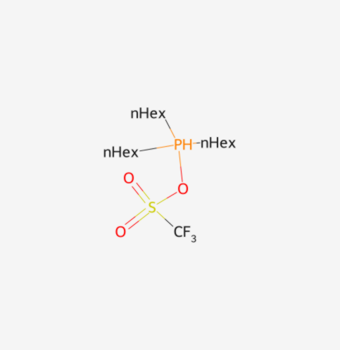 CCCCCC[PH](CCCCCC)(CCCCCC)OS(=O)(=O)C(F)(F)F